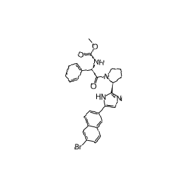 COC(=O)N[C@@H](C(=O)N1CCC[C@H]1c1ncc(-c2ccc3cc(Br)ccc3c2)[nH]1)c1ccccc1